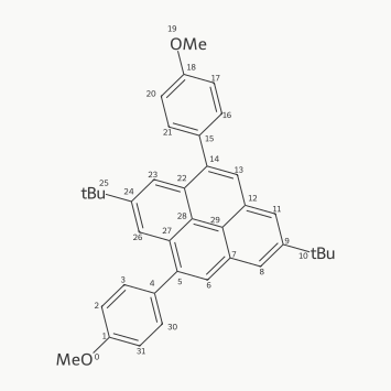 COc1ccc(-c2cc3cc(C(C)(C)C)cc4cc(-c5ccc(OC)cc5)c5cc(C(C)(C)C)cc2c5c34)cc1